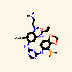 C=CC(=O)Nc1cc(Nc2ncnc(Nc3ccc4c(c3P(C)C)OCCO4)n2)c(OC)cc1N(C)CCN(C)C